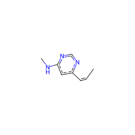 C/C=C\c1cc(NC)ncn1